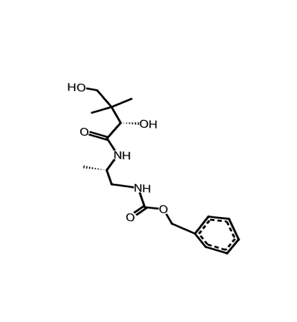 C[C@@H](CNC(=O)OCc1ccccc1)NC(=O)[C@@H](O)C(C)(C)CO